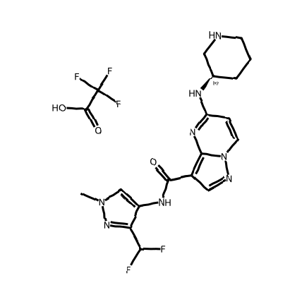 Cn1cc(NC(=O)c2cnn3ccc(N[C@@H]4CCCNC4)nc23)c(C(F)F)n1.O=C(O)C(F)(F)F